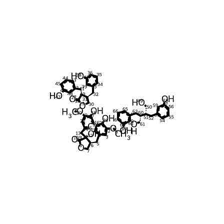 COc1cc(C[C@H]2COC(=O)[C@]2(O)Cc2ccc(O)c(OC)c2)ccc1O.O=C1OC[C@H](Cc2cccc(O)c2)[C@H]1Cc1cccc(O)c1.OC[C@H](Cc1cccc(O)c1)[C@H](CO)Cc1cccc(O)c1